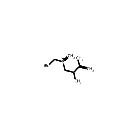 C=C(C)C(C)C[PH](=C)CC(C)CC